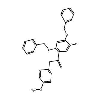 COc1ccc(CC(=O)c2cc(Cl)c(OCc3ccccc3)cc2OCc2ccccc2)cc1